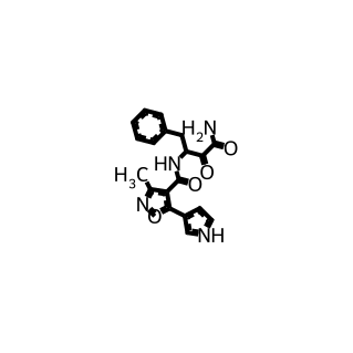 Cc1noc(-c2cc[nH]c2)c1C(=O)NC(Cc1ccccc1)C(=O)C(N)=O